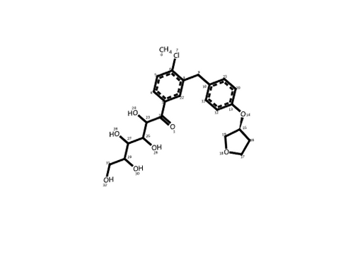 C.O=C(c1ccc(Cl)c(Cc2ccc(O[C@H]3CCOC3)cc2)c1)C(O)C(O)C(O)C(O)CO